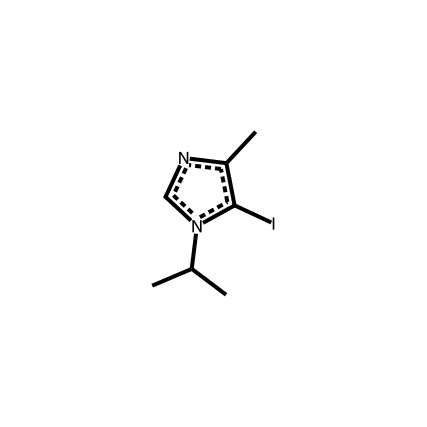 Cc1ncn(C(C)C)c1I